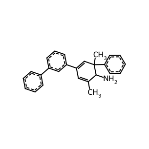 CC1=CC(c2cccc(-c3ccccc3)c2)=CC(C)(c2ccccc2)C1N